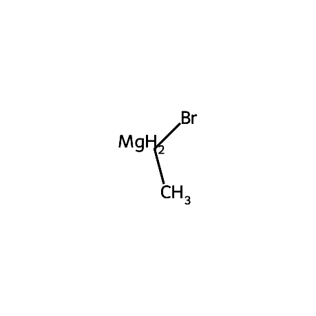 CCBr.[MgH2]